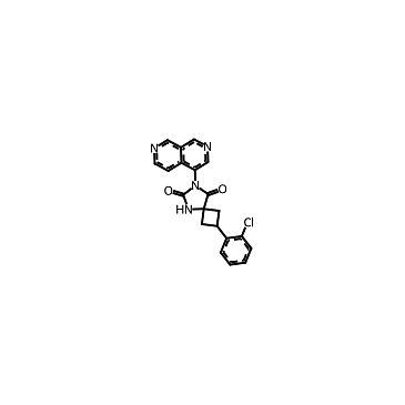 O=C1NC2(CC(c3ccccc3Cl)C2)C(=O)N1c1cncc2cnccc12